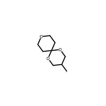 CC1COC2(CCOCC2)OC1